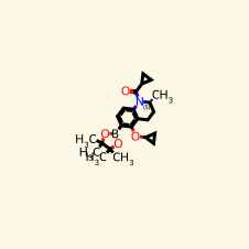 C[C@H]1CCc2c(ccc(B3OC(C)(C)C(C)(C)O3)c2OC2CC2)N1C(=O)C1CC1